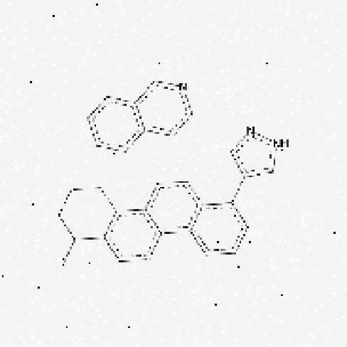 CC1CCCc2c1ccc1c2ccc2c(-c3cn[nH]c3)cccc21.c1ccc2cnccc2c1